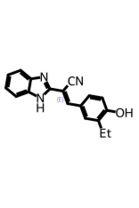 CCc1cc(/C=C(\C#N)c2nc3ccccc3[nH]2)ccc1O